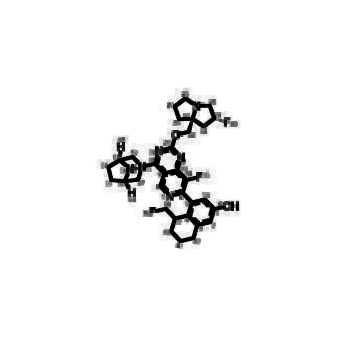 Oc1cc2c(c(-c3ncc4c(N5C[C@H]6CC[C@@H](C5)N6)nc(OC[C@@]56CCCN5C[C@H](F)C6)nc4c3F)c1)C(CF)CCC2